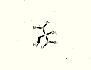 C=CS(C)(N(CC)CC)N(CC)CC